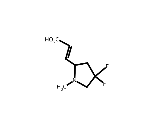 CN1CC(F)(F)CC1/C=C/C(=O)O